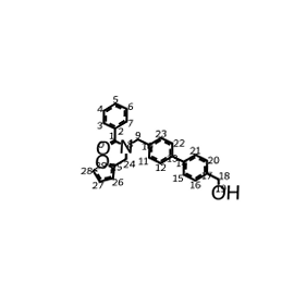 O=C(c1ccccc1)N(Cc1ccc(-c2ccc(CO)cc2)cc1)Cc1ccco1